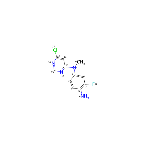 CN(c1ccc(N)c(F)c1)c1cc(Cl)ncn1